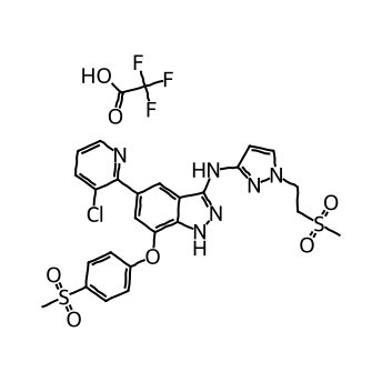 CS(=O)(=O)CCn1ccc(Nc2n[nH]c3c(Oc4ccc(S(C)(=O)=O)cc4)cc(-c4ncccc4Cl)cc23)n1.O=C(O)C(F)(F)F